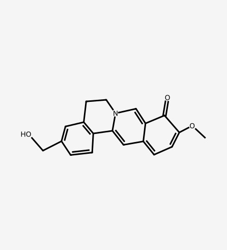 COc1ccc2cc3n(cc-2c1=O)CCc1cc(CO)ccc1-3